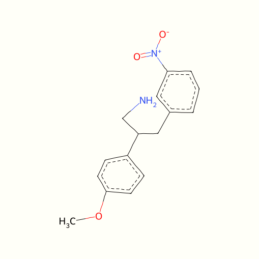 COc1ccc(C(CN)Cc2cccc([N+](=O)[O-])c2)cc1